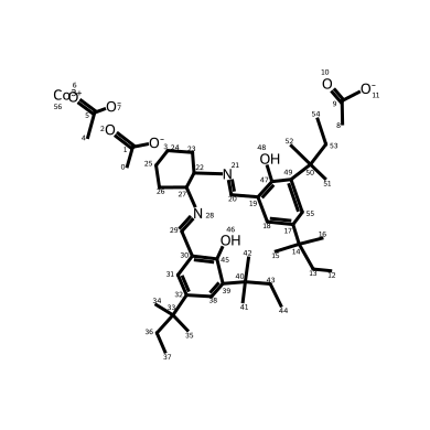 CC(=O)[O-].CC(=O)[O-].CC(=O)[O-].CCC(C)(C)c1cc(C=NC2CCCCC2N=Cc2cc(C(C)(C)CC)cc(C(C)(C)CC)c2O)c(O)c(C(C)(C)CC)c1.[Co+3]